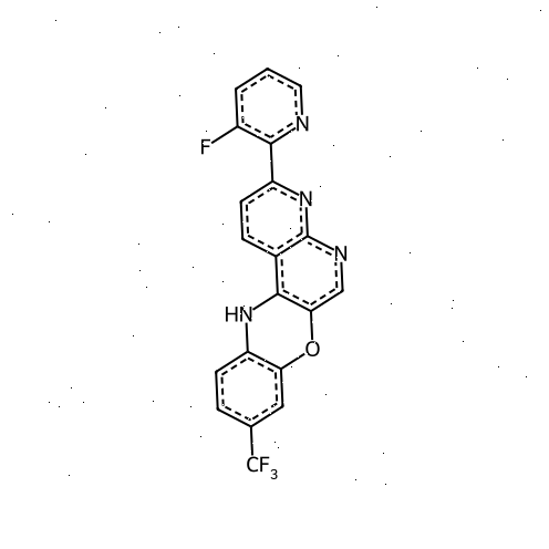 Fc1cccnc1-c1ccc2c3c(cnc2n1)Oc1cc(C(F)(F)F)ccc1N3